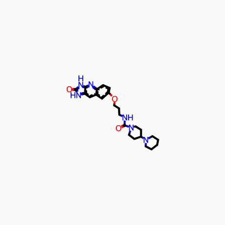 O=C(NCCCOc1ccc2nc3[nH]c(=O)[nH]c3cc2c1)N1CCC(N2CCCCC2)CC1